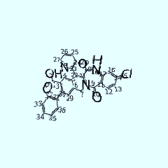 O=C(O)c1ccc(CN2C(=O)c3ccc(Cl)cc3NC(=O)C2Cc2ccccn2)cc1-c1ccccc1